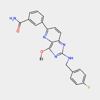 CCOc1nc(NCc2ccc(F)cc2)nc2ccc(-c3cccc(C(N)=O)c3)nc12